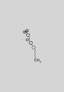 CCCCCCCC1CCC(c2ccc(C(=O)Cc3ccc([N+](=O)[O-])cc3)cc2)CC1